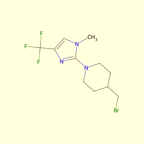 Cn1cc(C(F)(F)F)nc1N1CCC(CBr)CC1